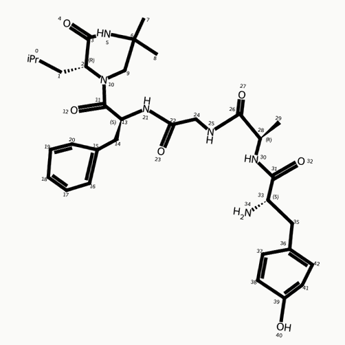 CC(C)C[C@@H]1C(=O)NC(C)(C)CN1C(=O)[C@H](Cc1ccccc1)NC(=O)CNC(=O)[C@@H](C)NC(=O)[C@@H](N)Cc1ccc(O)cc1